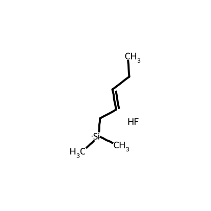 CCC=CC[Si](C)C.F